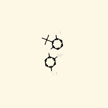 CC(C)(C)c1c(O)cccc1Oc1ccc(N)cc1N